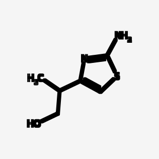 CC(CO)c1csc(N)n1